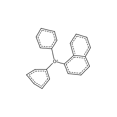 c1ccc([O+](c2ccccc2)c2cccc3ccccc23)cc1